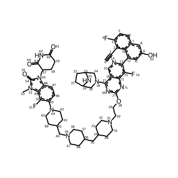 C#Cc1c(F)ccc2cc(O)cc(-c3ncc4c(N5CC6CCC(C5)N6)nc(OCCN5CCC(CC6CCN(CC7CCN(c8ccc9c(c8F)n(C)c(=O)n9C8CCC(=O)NC8=O)CC7)CC6)CC5)nc4c3F)c12